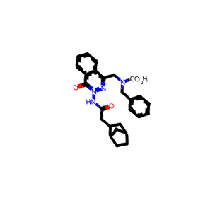 O=C(CC1CC2CCC1C2)Nn1nc(CN(Cc2ccccc2)C(=O)O)c2ccccc2c1=O